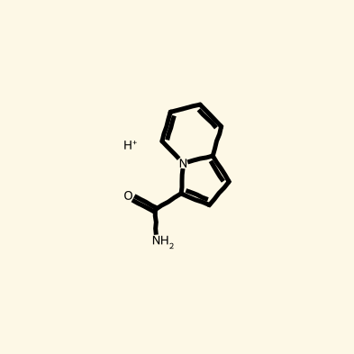 NC(=O)c1ccc2ccccn12.[H+]